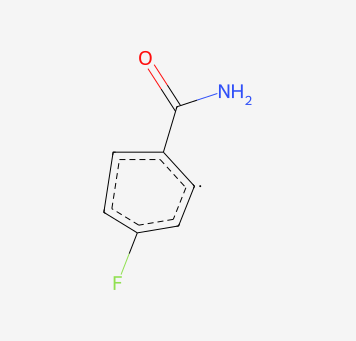 NC(=O)c1[c]cc(F)cc1